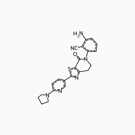 N#Cc1c(N)cccc1N1CCc2nc(-c3ccc(N4CCCC4)nc3)sc2C1=O